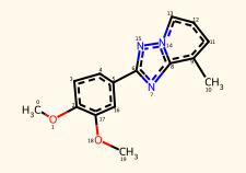 COc1ccc(-c2nc3c(C)cccn3n2)cc1OC